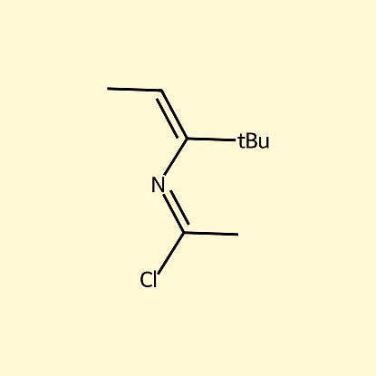 C/C=C(\N=C(/C)Cl)C(C)(C)C